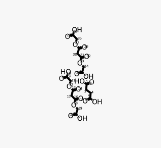 O=C(O)CCC(=O)O.O=C(O)COC(=O)CC(=O)OCC(=O)O.O=C(O)COC(=O)CC(=O)OCC(=O)O